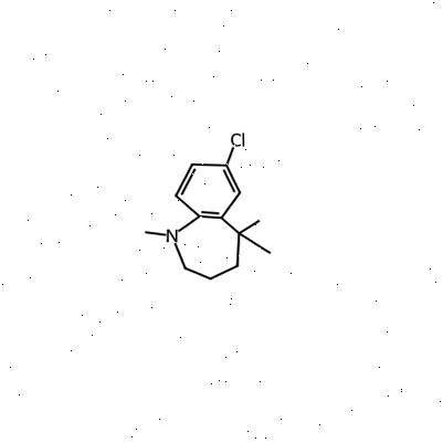 CN1CCCC(C)(C)c2cc(Cl)ccc21